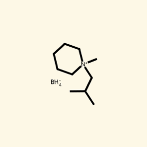 CC(C)C[N+]1(C)CCCCC1.[BH4-]